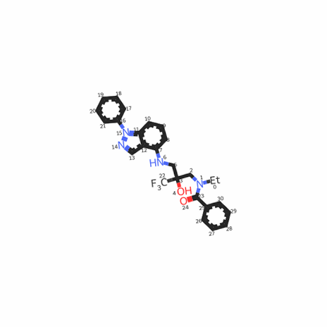 CCN(CC(O)(CNc1cccc2c1cnn2-c1ccccc1)C(F)(F)F)C(=O)c1ccccc1